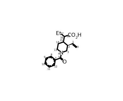 C=C[C@H]1CN(C(=O)c2ccccc2)CCC1C(CC)C(=O)O